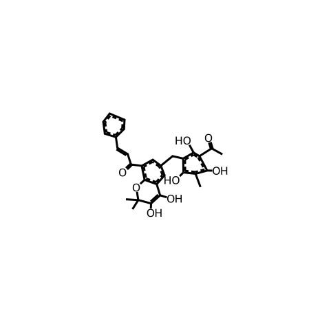 CC(=O)c1c(O)c(C)c(O)c(Cc2cc(C(=O)C=Cc3ccccc3)c3c(c2)C(O)=C(O)C(C)(C)O3)c1O